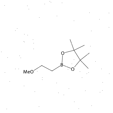 COCCB1OC(C)(C)C(C)(C)O1